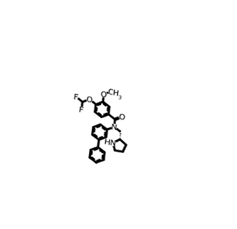 COc1cc(C(=O)N(C[C@@H]2CCCN2)c2cccc(-c3ccccc3)c2)ccc1OC(F)F